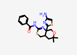 CC1(C)CC2CSC(NC(=O)c3ccccc3)=NC2(c2nc(N)cs2)CO1